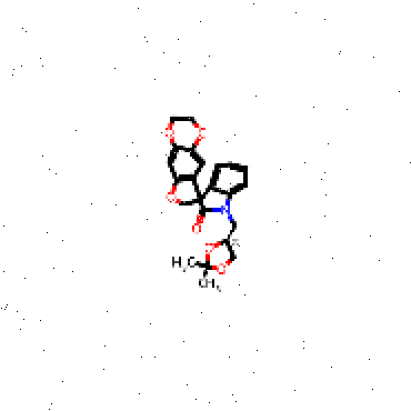 CC1(C)OC[C@H](CN2C(=O)C3(COc4cc5c(cc43)OCCO5)c3ccccc32)O1